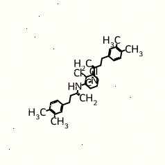 C=C(CCc1ccc(C)c(C)c1)NC12CCC(C(Cl)C1Cl)N(C(=C)CCc1ccc(C)c(C)c1)C2